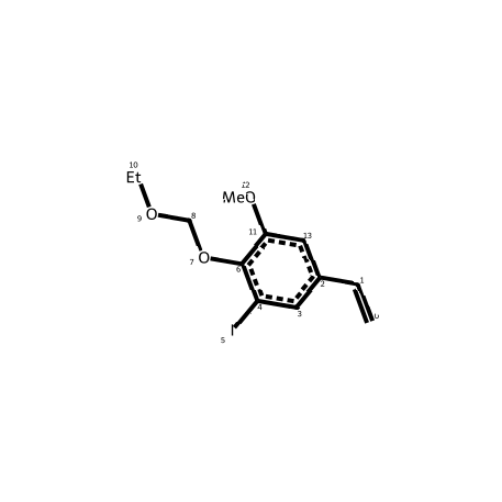 C=Cc1cc(I)c(OCOCC)c(OC)c1